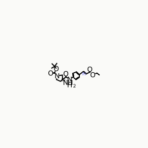 CCOC(=O)/C=C/c1ccc(NC(=O)[C@]2(N)CCN(C(=O)OC(C)(C)C)C2)cc1